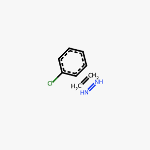 C=C.Clc1ccccc1.N=N